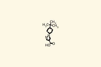 CC(C)(C)c1ccc(-n2cc(C(=O)O)cn2)cc1